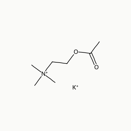 CC(=O)OCC[N+](C)(C)C.[K+]